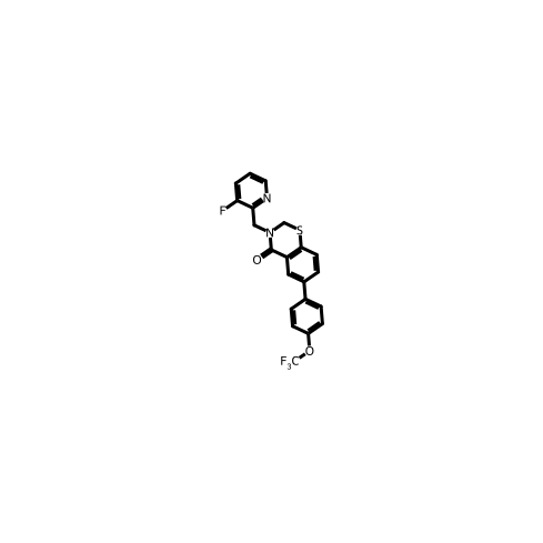 O=C1c2cc(-c3ccc(OC(F)(F)F)cc3)ccc2SCN1Cc1ncccc1F